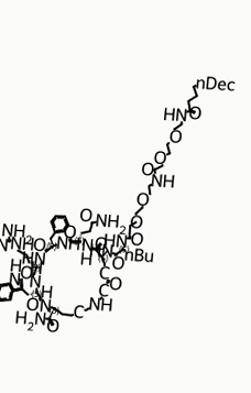 CCCCCCCCCCCCCC(=O)NCCOCCOCC(=O)NCCOCCOCC(=O)N[C@@H](CCCC)C(=O)N[C@H]1CCC(=O)CCNCCCC[C@@H](C(N)=O)NC(=O)[C@H](Cc2c[nH]c3ccccc23)NC(=O)[C@H](CCCNC(=N)N)NC(=O)[C@@H](Cc2ccccc2)NC(=O)[C@H](CCC(N)=O)NC1=O